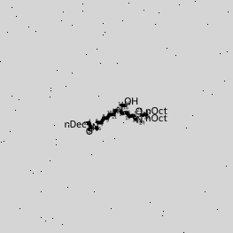 CCCCCCCCCCCC(=O)N(C)CCCCCCCN(CCO)CCCCCN(C)C(=O)C(CCCCCCCC)CCCCCCCC